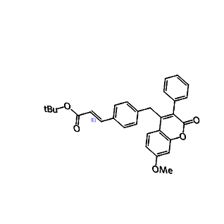 COc1ccc2c(Cc3ccc(/C=C/C(=O)OC(C)(C)C)cc3)c(-c3ccccc3)c(=O)oc2c1